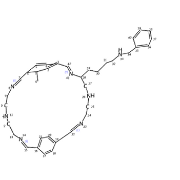 CC1C=C2C=CC1/C=N/CCNCC/N=C/c1ccc(cc1)/C=N/CCNCC(CCCCNCc1ccccc1)/N=C/2